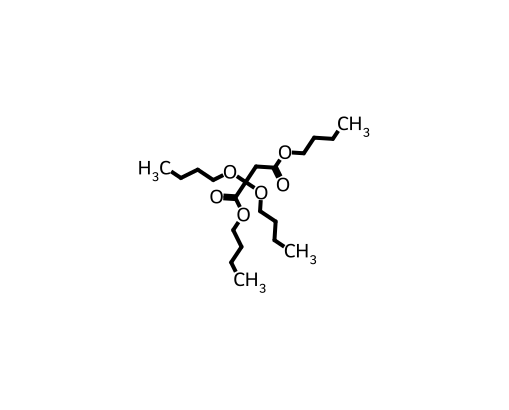 CCCCOC(=O)CC(OCCCC)(OCCCC)C(=O)OCCCC